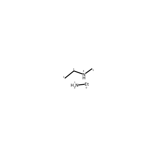 CCN.CCNC